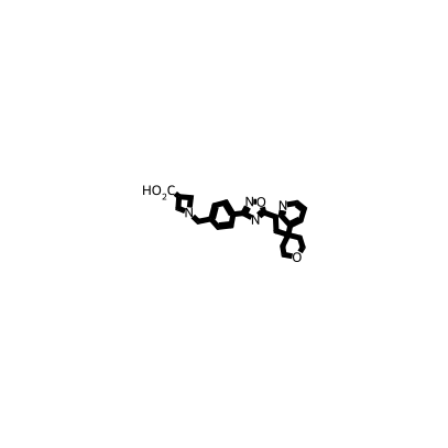 O=C(O)C1CN(Cc2ccc(-c3noc(CCC4(c5cccnc5)CCOCC4)n3)cc2)C1